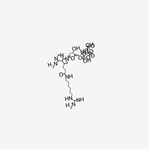 N=C(N)NCCCCCCNC(=O)CCc1cn([C@H]2CC(O)[C@@H](COP(=O)(O)OP(=O)(O)OP(=O)(O)O)O2)c2ncnc(N)c12